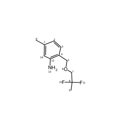 Cc1ccc(COCC(C)(F)F)c(N)c1